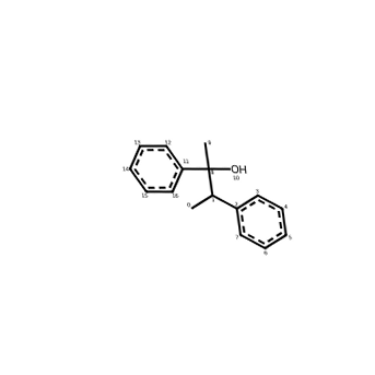 CC(c1ccccc1)C(C)(O)c1ccccc1